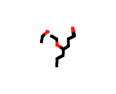 CCCC(CCC=O)OCC.CC[O]